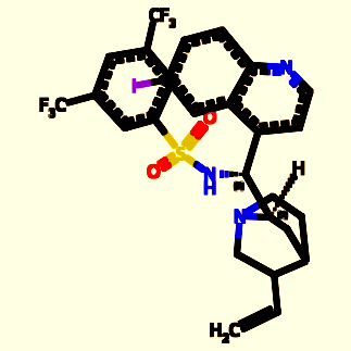 C=CC1CN2CCC1C[C@@H]2[C@H](NS(=O)(=O)c1cc(C(F)(F)F)cc(C(F)(F)F)c1)c1ccnc2ccc(I)cc12